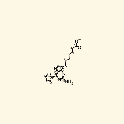 COC(=O)CCCCCCn1cnc2c(-c3ccco3)nc(N)nc21